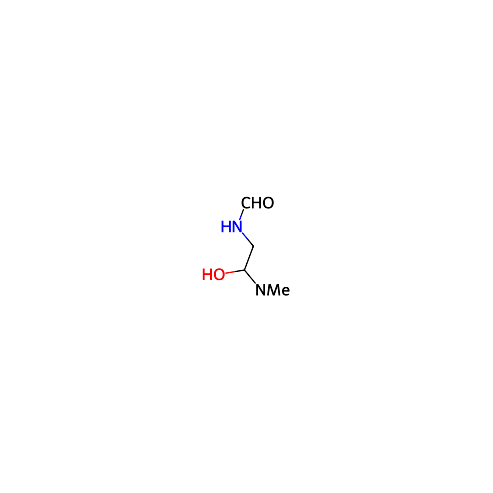 CNC(O)CNC=O